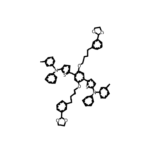 Cc1cccc(N(c2ccccc2)c2ccc(-c3cc(OCCCCc4cccc(C5OCCO5)c4)c(-c4ccc(N(c5ccccc5)c5cccc(C)c5)s4)cc3OCCCCc3cccc(C4OCCO4)c3)s2)c1